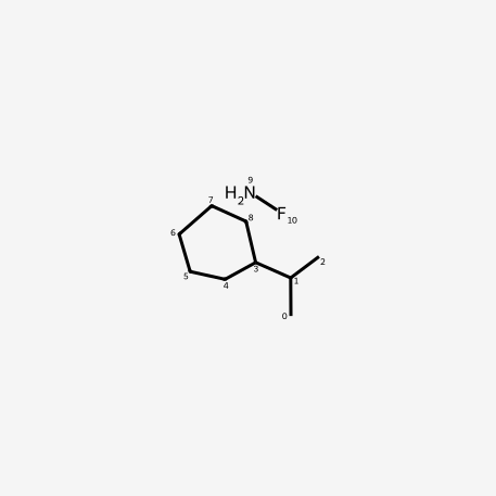 CC(C)C1CCCCC1.NF